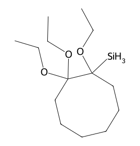 CCOC1([SiH3])CCCCCCC1(OCC)OCC